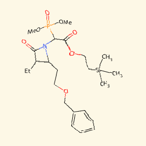 CCC1C(=O)N(C(C(=O)OCC[Si](C)(C)C)P(=O)(OC)OC)C1CCOCc1ccccc1